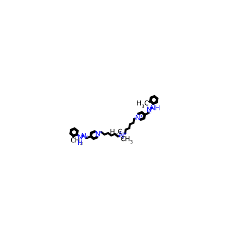 Cc1ccccc1N/N=C/c1cc[n+](CCCCCC[N+](C)(C)CCCCCC[n+]2ccc(/C=N/Nc3ccccc3C)cc2)cc1